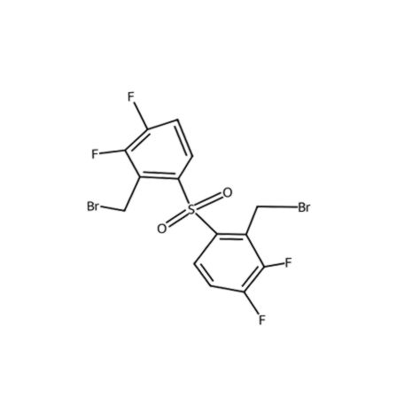 O=S(=O)(c1ccc(F)c(F)c1CBr)c1ccc(F)c(F)c1CBr